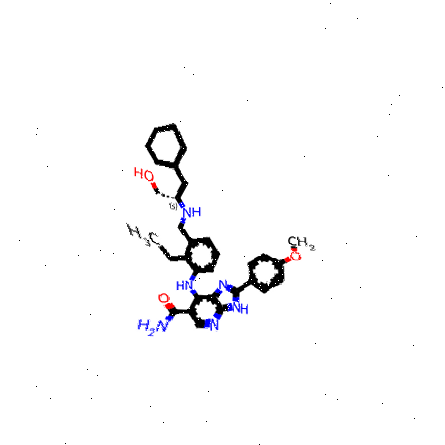 CCc1c(CN[C@H](CO)CC2CCCCC2)cccc1Nc1c(C(N)=O)cnc2[nH]c(-c3ccc(OC)cc3)nc12